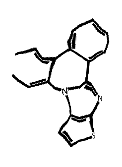 C/C=c1\c(=C/C)n2c3ccsc3nc2c2ccccc12